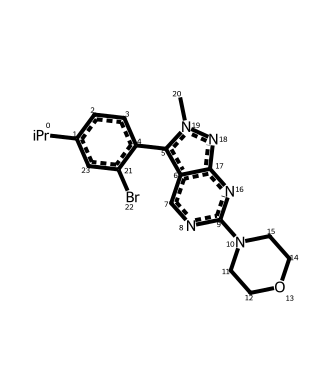 CC(C)c1ccc(-c2c3cnc(N4CCOCC4)nc3nn2C)c(Br)c1